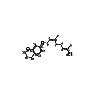 CCC(C)=CCCC(C)=CCOc1ccc2c(c1)OCCC2